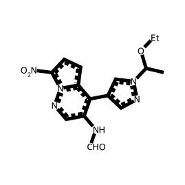 CCOC(C)n1cc(-c2c(NC=O)cnn3c([N+](=O)[O-])ccc23)cn1